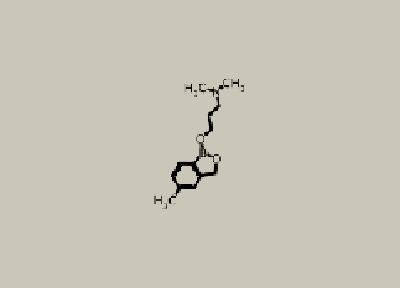 Cc1ccc2c(c1)COB2OCCCN(C)C